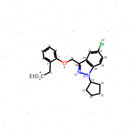 CCOC(=O)Cc1ccccc1OCc1nn(C2CCCC2)c2ccc(Br)cc12